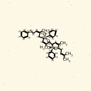 CC(C)=CCCC(C)=CC(CC(C)=CC(CC(C)=CCSc1ccccc1)S(=O)(=O)c1ccccc1)S(=O)(=O)c1ccccc1